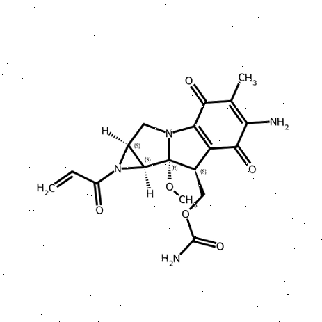 C=CC(=O)N1[C@H]2[C@@H]1CN1C3=C(C(=O)C(N)=C(C)C3=O)[C@@H](COC(N)=O)[C@@]21OC